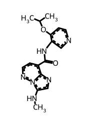 CNc1cnc2c(C(=O)Nc3cnccc3OC(C)C)ccnn12